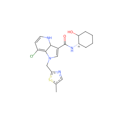 Cc1cnc(CN2C=C(C(=O)N[C@H]3CCCCC3O)C3NC=CC(Cl)=C32)s1